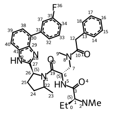 CC[C@H](NC)C(=O)N[C@@H](CN(C)C(=O)Cc1ccccc1)C(=O)N1C(C)CC[C@H]1c1nc2c(-c3cccc(F)c3)cccc2[nH]1